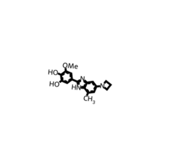 COc1cc(-c2nc3cc(N4CCC4)cc(C)c3[nH]2)cc(O)c1O